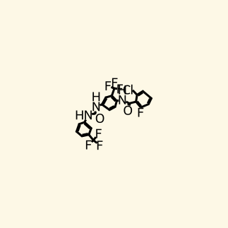 O=C(Nc1cccc(C(F)(F)F)c1)Nc1ccc(NC(=O)c2c(F)cccc2Cl)c(C(F)(F)F)c1